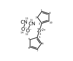 C1=CC[C]([Zr+2][C]2=CC=CC2)=C1.N#C[O-].N#C[O-]